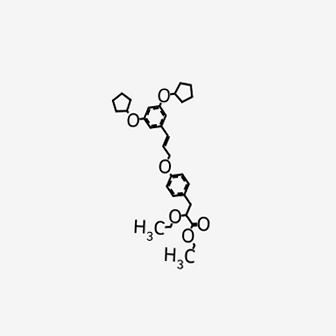 CCOC(=O)C(Cc1ccc(OCC=Cc2cc(OC3CCCC3)cc(OC3CCCC3)c2)cc1)OCC